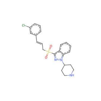 O=S(=O)(CC=Cc1cccc(Cl)c1)c1nn(C2CCNCC2)c2ccccc12